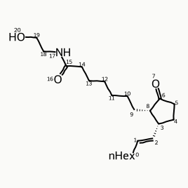 CCCCCCC=C[C@H]1CCC(=O)[C@H]1CCCCCCC(=O)NCCO